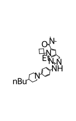 CCCCC1CCN(c2ccc(Nc3ncc4cc(C(=O)N(C)C)n(C5(CC)CCC5)c4n3)cc2)CC1